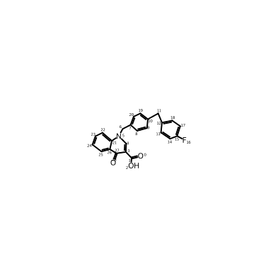 O=C(O)c1cn(Cc2ccc(Cc3ccc(F)cc3)cc2)c2ccccc2c1=O